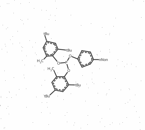 CCCCCCCCCc1ccc(OP(Oc2c(C)cc(C(C)(C)C)cc2C(C)(C)C)Oc2c(C)cc(C(C)(C)C)cc2C(C)(C)C)cc1